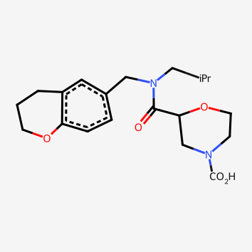 CC(C)CN(Cc1ccc2c(c1)CCCO2)C(=O)C1CN(C(=O)O)CCO1